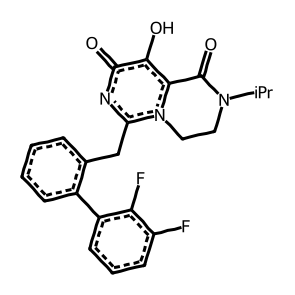 CC(C)N1CCn2c(Cc3ccccc3-c3cccc(F)c3F)nc(=O)c(O)c2C1=O